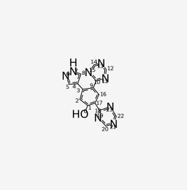 Oc1cc(-c2cn[nH]c2)c(-c2ncncn2)cc1-c1ncncn1